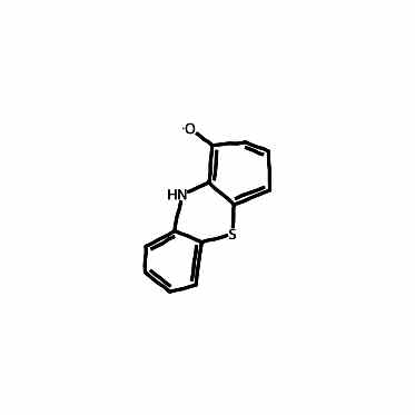 [O]c1cccc2c1Nc1ccccc1S2